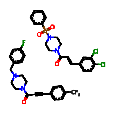 O=C(C#Cc1ccc(C(F)(F)F)cc1)N1CCN(Cc2ccc(F)cc2)CC1.O=C(C=Cc1ccc(Cl)c(Cl)c1)N1CCN(S(=O)(=O)c2ccccc2)CC1